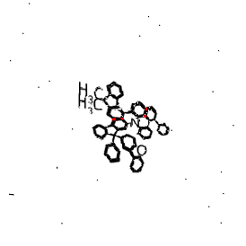 CC1(C)c2ccccc2-c2c(-c3ccccc3N(c3ccc4c(c3)C(c3ccccc3)(c3ccc5oc6ccccc6c5c3)c3ccccc3-4)c3ccccc3-c3ccccc3-c3ccccc3)cccc21